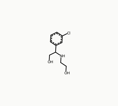 OCCNC(CO)c1cccc(Cl)c1